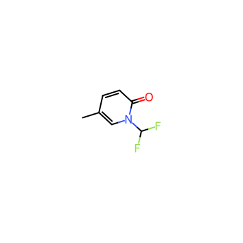 Cc1ccc(=O)n(C(F)F)c1